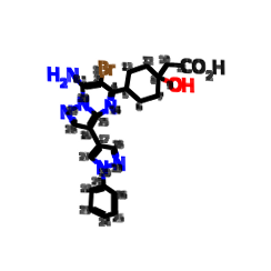 Nc1c(Br)c(C2CCC(O)(CC(=O)O)CC2)nc2c(-c3cnn(-c4ccccc4)c3)cnn12